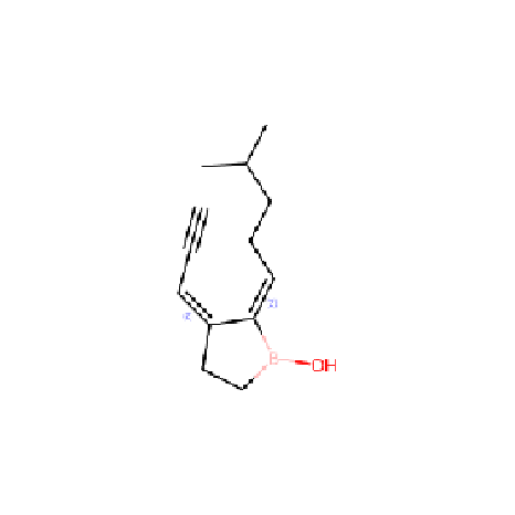 C#C/C=C1/CCB(O)/C1=C/CCC(C)C